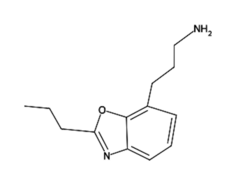 CCCc1nc2cccc(CCCN)c2o1